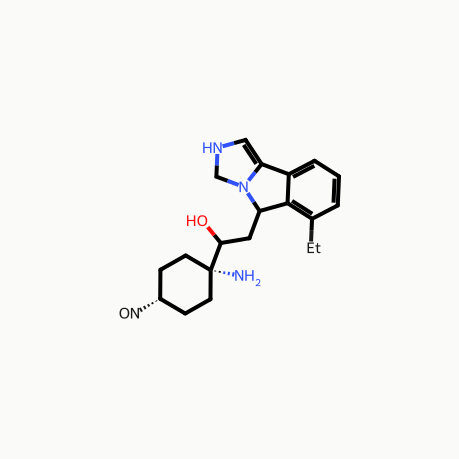 CCc1cccc2c1C(CC(O)[C@]1(N)CC[C@@H](N=O)CC1)N1CNC=C21